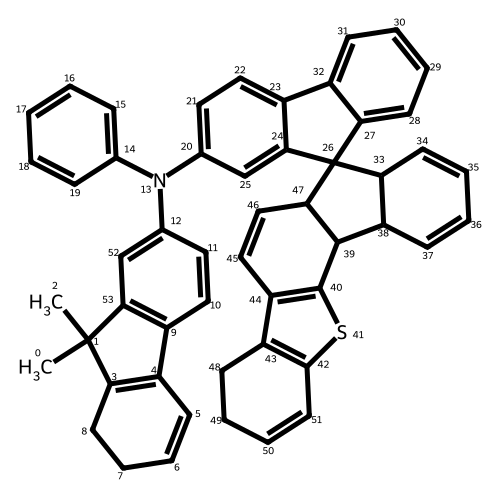 CC1(C)C2=C(C=CCC2)c2ccc(N(c3ccccc3)c3ccc4c(c3)C3(c5ccccc5-4)C4C=CC=CC4C4c5sc6c(c5C=CC43)CCC=C6)cc21